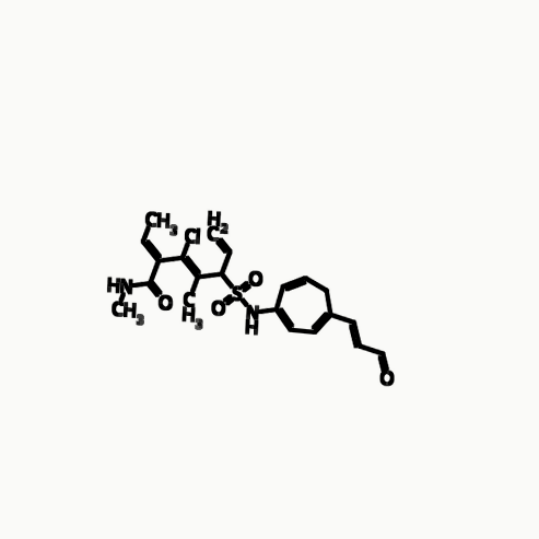 C=CC(/C(C)=C(Cl)/C(=C\C)C(=O)NC)S(=O)(=O)NC1=CC=C(/C=C/C=O)CC=C1